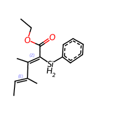 C/C=C(C)/C(C)=C(\[SiH2]c1ccccc1)C(=O)OCC